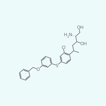 CC(CC(O)[C@H](N)CO)c1ccc(Sc2cccc(OCc3ccccc3)c2)cc1Cl